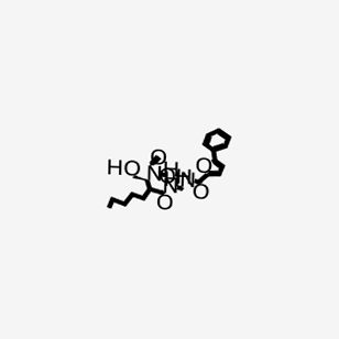 CCCCCC(C(=O)NCNC(=O)c1ccc(-c2ccccc2)o1)[C@@H](CO)N(O)C=O